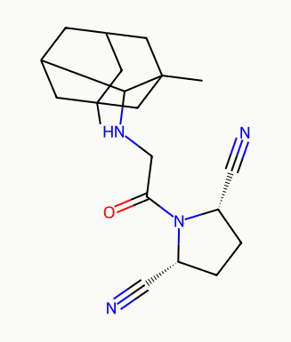 CC12CC3CC(C1)C(NCC(=O)N1[C@H](C#N)CC[C@@H]1C#N)C(C)(C3)C2